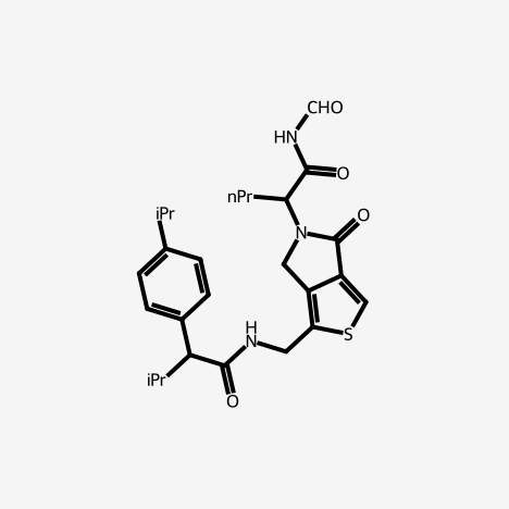 CCCC(C(=O)NC=O)N1Cc2c(csc2CNC(=O)C(c2ccc(C(C)C)cc2)C(C)C)C1=O